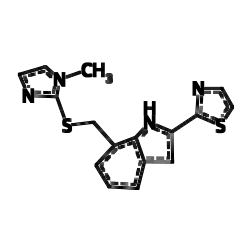 Cn1ccnc1SCc1cccc2cc(-c3nccs3)[nH]c12